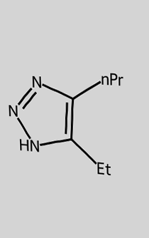 CCCc1nn[nH]c1CC